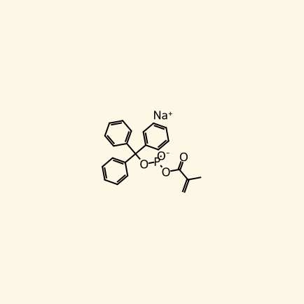 C=C(C)C(=O)OP([O-])OC(c1ccccc1)(c1ccccc1)c1ccccc1.[Na+]